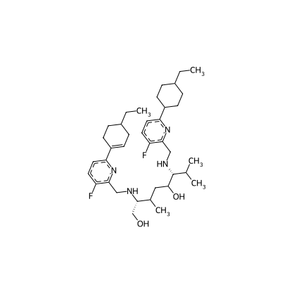 CCC1CC=C(c2ccc(F)c(CN[C@@H](CO)C(C)CC(O)[C@H](NCc3nc(C4CCC(CC)CC4)ccc3F)C(C)C)n2)CC1